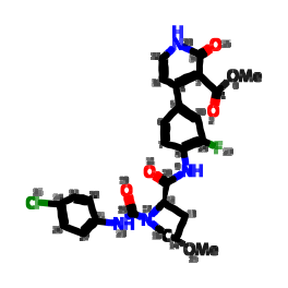 COC(=O)c1c(-c2ccc(NC(=O)[C@H]3C[C@@H](OC)CN3C(=O)Nc3ccc(Cl)cc3)c(F)c2)cc[nH]c1=O